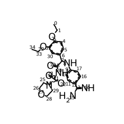 CCOc1ccc(C(Nc2ccc(C(=N)N)cc2)C(=O)NS(=O)(=O)N2CCOCC2)cc1OCC